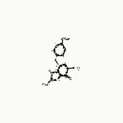 COc1ccc(Cn2cc(C(=O)O)c(=O)c3sc(SC)nc32)cc1